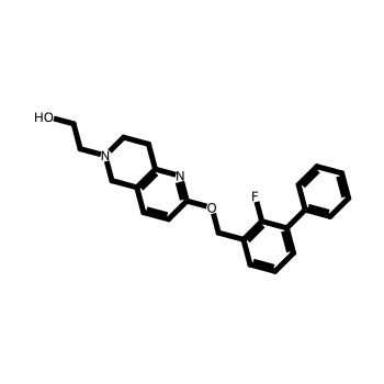 OCCN1CCc2nc(OCc3cccc(-c4ccccc4)c3F)ccc2C1